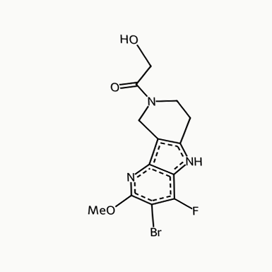 COc1nc2c3c([nH]c2c(F)c1Br)CCN(C(=O)CO)C3